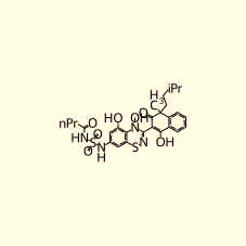 CCCC(=O)NS(=O)(=O)Nc1cc(O)c2c(c1)SN=C(C1=C(O)c3ccccc3C(C)(CCC(C)C)C1=O)N2O